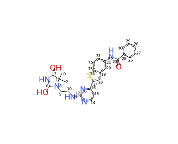 CC1(C)C(O)NC(O)N1CCNc1nccc(-c2cc3cc(NC(=O)c4ccccc4)ccc3s2)n1